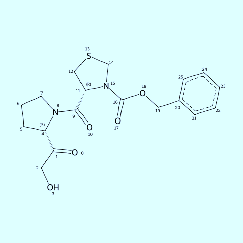 O=C(CO)[C@@H]1CCCN1C(=O)[C@@H]1CSCN1C(=O)OCc1ccccc1